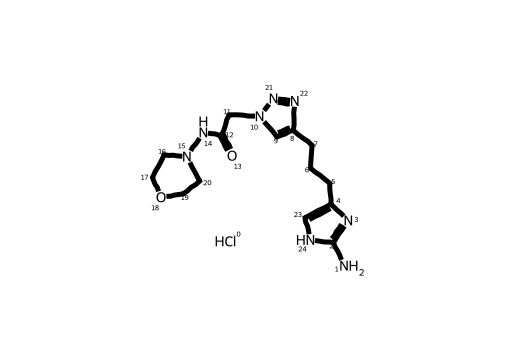 Cl.Nc1nc(CCCc2cn(CC(=O)NN3CCOCC3)nn2)c[nH]1